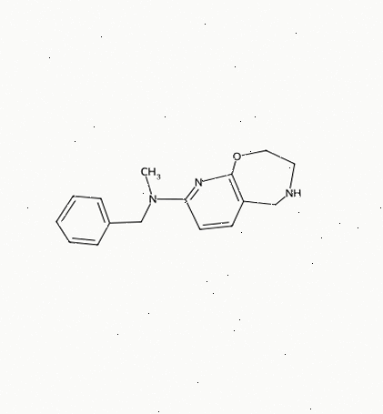 CN(Cc1ccccc1)c1ccc2c(n1)OCCNC2